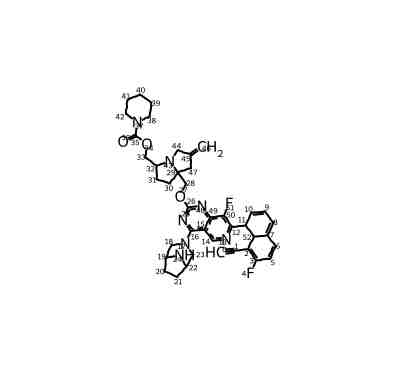 C#CC1=C(F)C=CC2=CC=CC(c3ncc4c(N5CC6CCC(C5)N6)nc(OCC56CCC(COC(=O)N7CCCCC7)N5CC(=C)C6)nc4c3F)C21